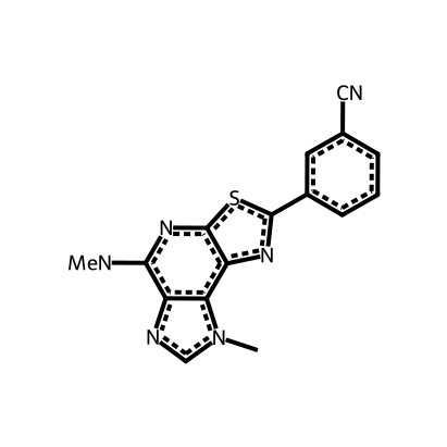 CNc1nc2sc(-c3cccc(C#N)c3)nc2c2c1ncn2C